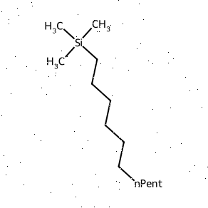 CCCCCCCCCCC[Si](C)(C)C